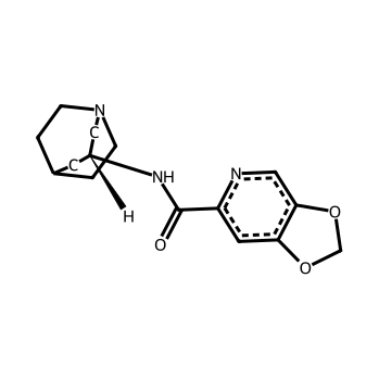 O=C(N[C@@H]1CC2CCN(CC2)C1)c1cc2c(cn1)OCO2